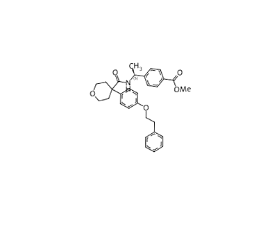 COC(=O)c1ccc([C@H](C)NC(=O)C2(c3ccc(OCCc4ccccc4)cc3)CCOCC2)cc1